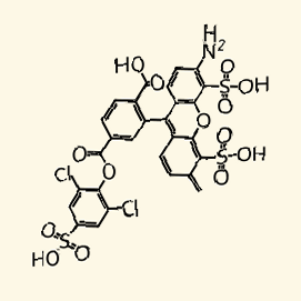 C=c1ccc2c(c1S(=O)(=O)O)Oc1c(ccc(N)c1S(=O)(=O)O)C=2c1cc(C(=O)Oc2c(Cl)cc(S(=O)(=O)O)cc2Cl)ccc1C(=O)O